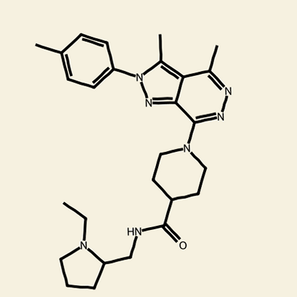 CCN1CCCC1CNC(=O)C1CCN(c2nnc(C)c3c(C)n(-c4ccc(C)cc4)nc23)CC1